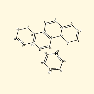 C1=CCC2C(=C1)C=Cc1c2ccc2c1CCC=C2.c1cnccn1